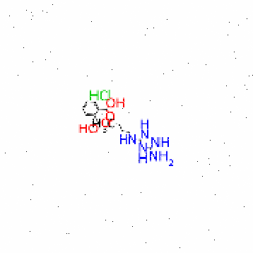 CCCCNC(=N)NC(=N)N.Cl.O=C(O)c1ccccc1C(=O)O